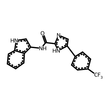 O=C(Nc1c[nH]c2ccccc12)c1ncc(-c2ccc(C(F)(F)F)cc2)[nH]1